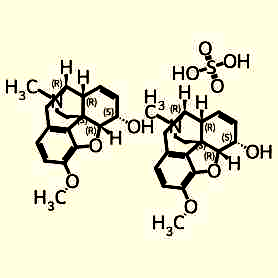 COc1ccc2c3c1O[C@H]1[C@@H](O)C=C[C@H]4[C@@H](C2)N(C)CC[C@@]341.COc1ccc2c3c1O[C@H]1[C@@H](O)C=C[C@H]4[C@@H](C2)N(C)CC[C@@]341.O=S(=O)(O)O